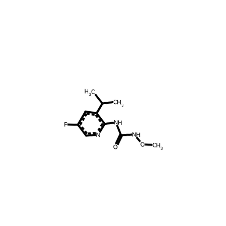 CONC(=O)Nc1ncc(F)cc1C(C)C